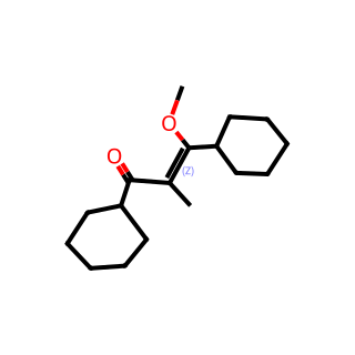 CO/C(=C(/C)C(=O)C1CCCCC1)C1CCCCC1